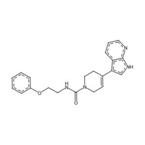 O=C(NCCOc1ccccc1)N1CC=C(c2c[nH]c3ncccc23)CC1